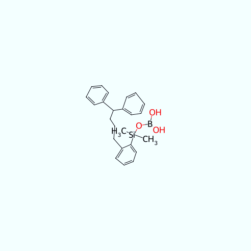 C[Si](C)(OB(O)O)c1ccccc1CCCC(c1ccccc1)c1ccccc1